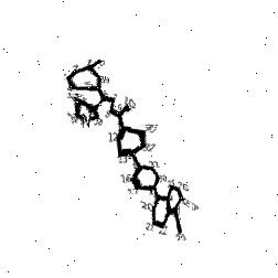 CC1CCC/C(=C(/CCC(C)C2=CC=C(C3C=CC(C4CCCC5=C4CCCC5C)CC3)CC2)C23CCN2C3)C1